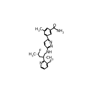 Cc1cc(C(N)=O)cc(-c2ccc(NC[C@](C)(C[C@H](C)F)c3ncccc3F)nn2)c1